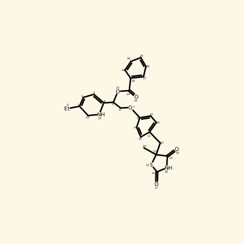 CCC1=CC=C(C(COc2ccc(CC3(C)SC(=O)NC3=O)cc2)OC(=O)c2ccccc2)NC1